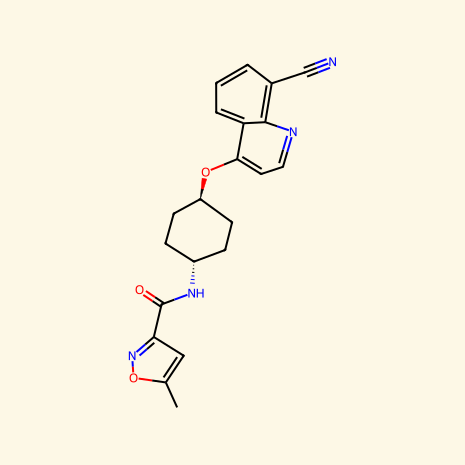 Cc1cc(C(=O)N[C@H]2CC[C@H](Oc3ccnc4c(C#N)cccc34)CC2)no1